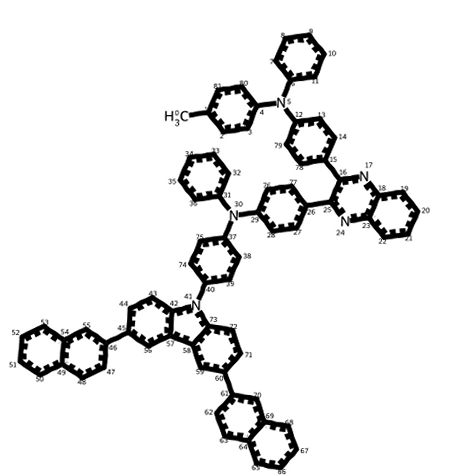 Cc1ccc(N(c2ccccc2)c2ccc(-c3nc4ccccc4nc3-c3ccc(N(c4ccccc4)c4ccc(-n5c6ccc(-c7ccc8ccccc8c7)cc6c6cc(-c7ccc8ccccc8c7)ccc65)cc4)cc3)cc2)cc1